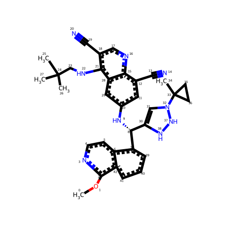 COc1nccc2c([C@H](Nc3cc(C#N)c4ncc(C#N)c(NCC(C)(C)C)c4c3)C3=CN(C4(C)CC4)NN3)cccc12